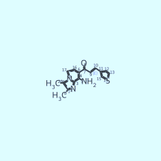 Cc1nc2c(N)c(C(=O)/C=C/c3ccsc3)ccn2c1C